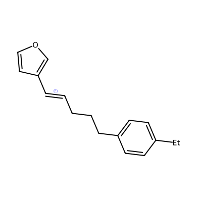 CCc1ccc(CCC/C=C/c2ccoc2)cc1